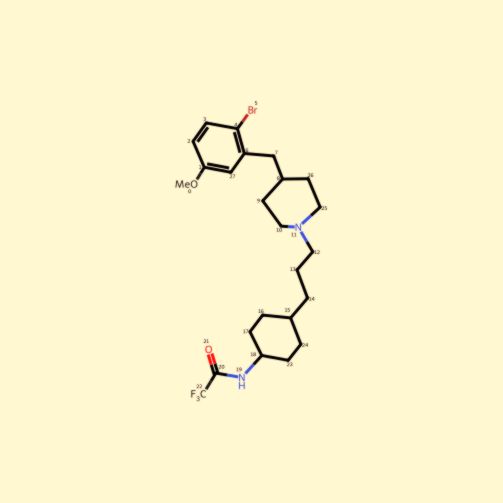 COc1ccc(Br)c(CC2CCN(CCCC3CCC(NC(=O)C(F)(F)F)CC3)CC2)c1